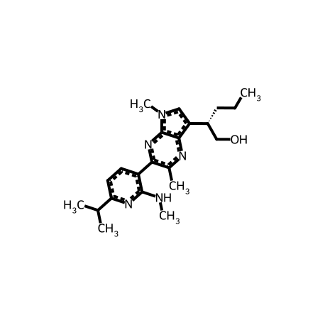 CCC[C@H](CO)c1cn(C)c2nc(-c3ccc(C(C)C)nc3NC)c(C)nc12